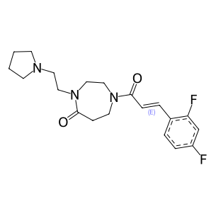 O=C(/C=C/c1ccc(F)cc1F)N1CCC(=O)N(CCN2CCCC2)CC1